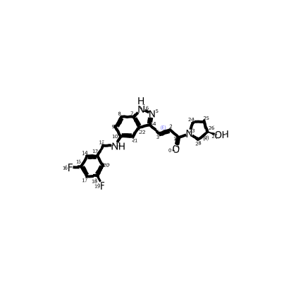 O=C(/C=C/c1n[nH]c2ccc(NCc3cc(F)cc(F)c3)cc12)N1CC[C@@H](O)C1